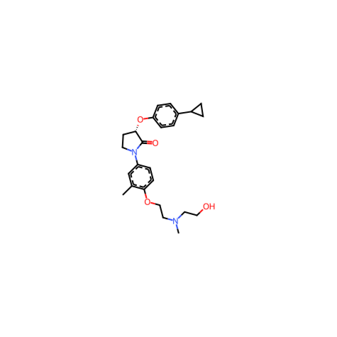 Cc1cc(N2CC[C@H](Oc3ccc(C4CC4)cc3)C2=O)ccc1OCCN(C)CCO